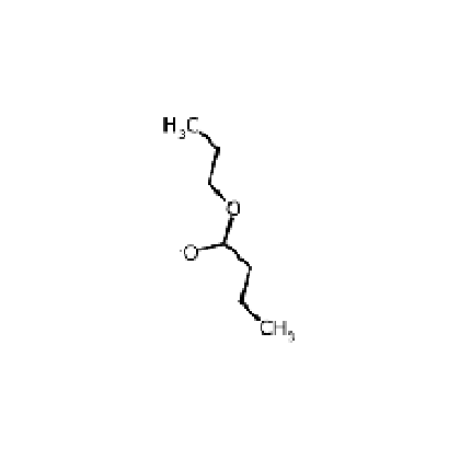 CCCOC([O])CCC